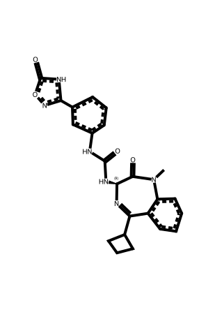 CN1C(=O)[C@H](NC(=O)Nc2cccc(-c3noc(=O)[nH]3)c2)N=C(C2CCC2)c2ccccc21